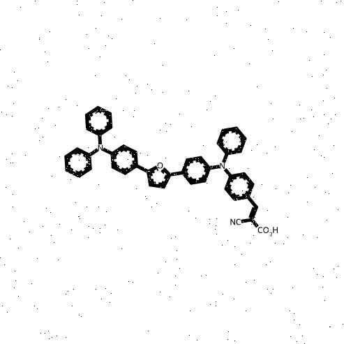 N#C/C(=C\c1ccc(N(c2ccccc2)c2ccc(-c3ccc(-c4ccc(N(c5ccccc5)c5ccccc5)cc4)o3)cc2)cc1)C(=O)O